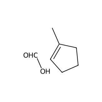 CC1=CCCC1.O=CO